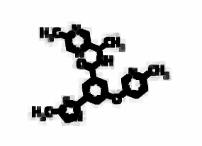 Cc1ccc(Oc2cc(C(=O)N[C@H](C)c3cnc(C)cn3)cc(-c3ncc(C)s3)c2)cn1